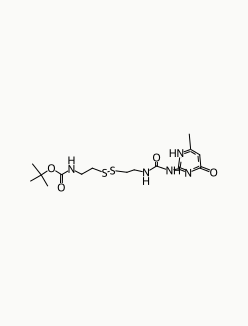 Cc1cc(=O)nc(NC(=O)NCCSSCCNC(=O)OC(C)(C)C)[nH]1